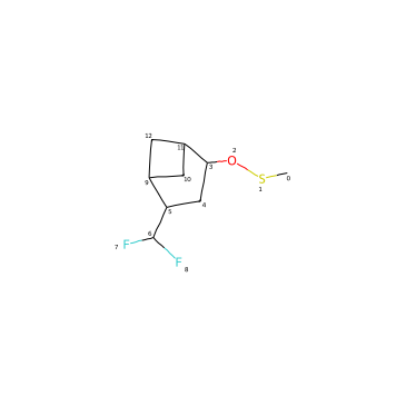 CSOC1CC(C(F)F)C2CC1C2